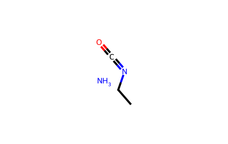 CCN=C=O.N